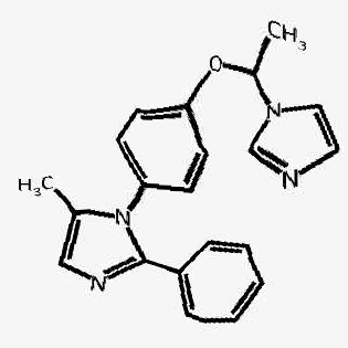 Cc1cnc(-c2ccccc2)n1-c1ccc(OC(C)n2ccnc2)cc1